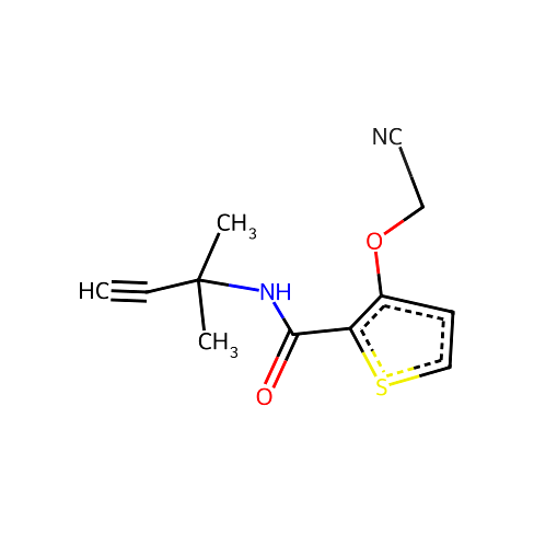 C#CC(C)(C)NC(=O)c1sccc1OCC#N